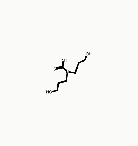 OCCCN(CCCO)C(=S)S